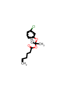 C=CCCCC(=O)OC(C)(C)Oc1cccc(Cl)c1